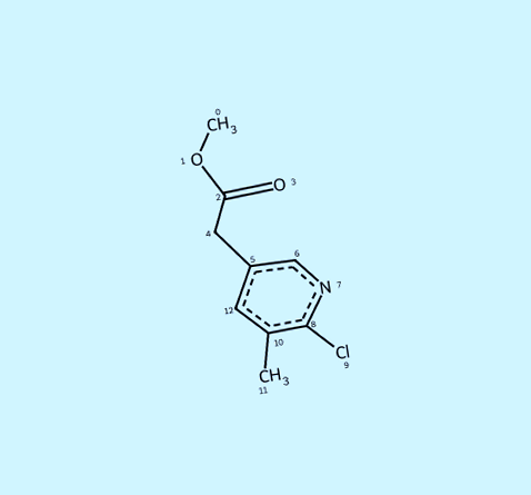 COC(=O)Cc1cnc(Cl)c(C)c1